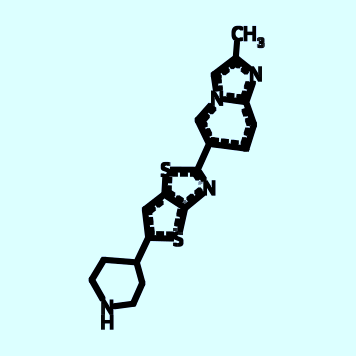 Cc1cn2cc(-c3nc4sc(C5CCNCC5)cc4s3)ccc2n1